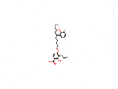 CCCCC(CCCCCOc1ccc(C(=O)O)c(O)c1CCC)c1cccc(O)c1O